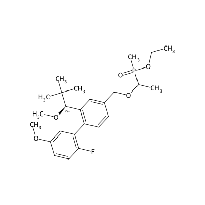 CCOP(C)(=O)C(C)OCc1ccc(-c2cc(OC)ccc2F)c([C@@H](OC)C(C)(C)C)c1